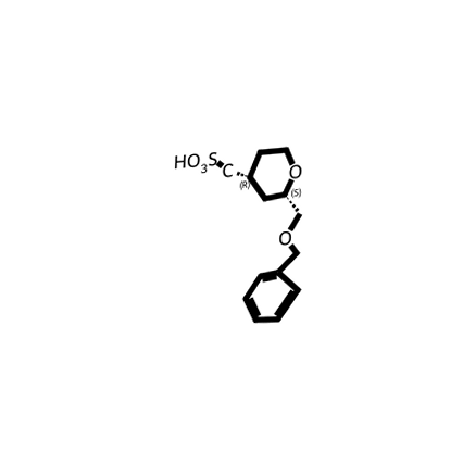 O=S(=O)(O)C[C@@H]1CCO[C@H](COCc2ccccc2)C1